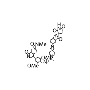 CNC(=O)N1CCc2c(-c3cc(OC)c(CN4CC(C(C)N5CCC6(CC5)CN(c5ccc7c(c5)C(=O)N(C5CCC(=O)NC5=O)C7)C6)C4)c(OC)c3)cn(C)c(=O)c2C1